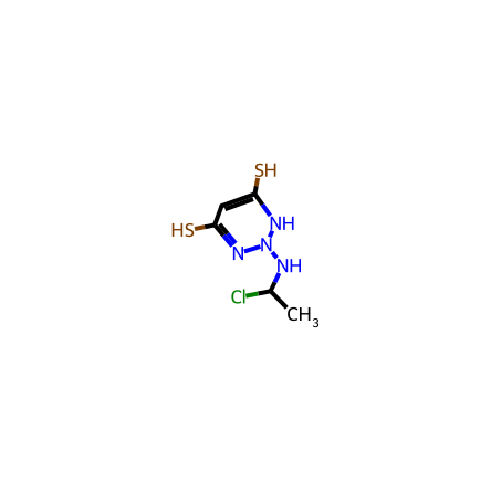 CC(Cl)NN1N=C(S)C=C(S)N1